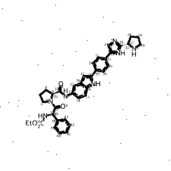 CCOC(=O)N[C@@H](C(=O)N1CCC[C@H]1C(=O)Nc1ccc2[nH]c(-c3ccc(-c4cnc([C@@H]5CCCN5)[nH]4)cc3)cc2c1)c1ccccc1